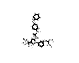 CC(P)Nc1cccc(-n2nc(C(C)(C)C)cc2NC(=O)Nc2ccc(Oc3ccccc3)cc2)c1